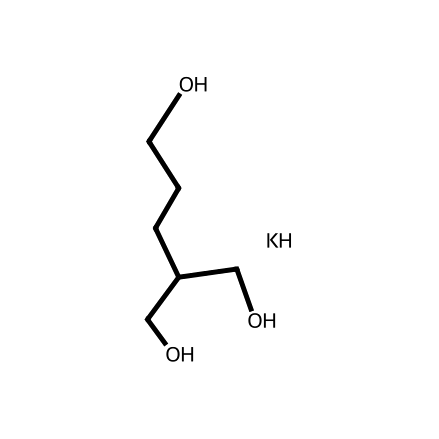 OCCCC(CO)CO.[KH]